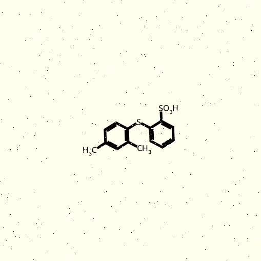 Cc1ccc(Sc2ccccc2S(=O)(=O)O)c(C)c1